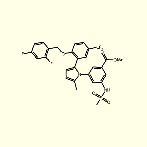 COC(=O)c1cc(NS(C)(=O)=O)cc(-n2c(C)ccc2-c2cc(C(F)(F)F)ccc2OCc2ccc(F)cc2F)c1